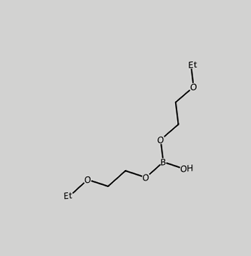 CCOCCOB(O)OCCOCC